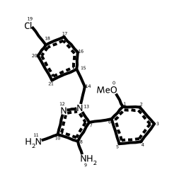 COc1ccccc1-c1c(N)c(N)nn1Cc1ccc(Cl)cc1